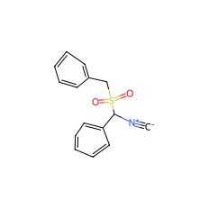 [C-]#[N+]C(c1ccccc1)S(=O)(=O)Cc1ccccc1